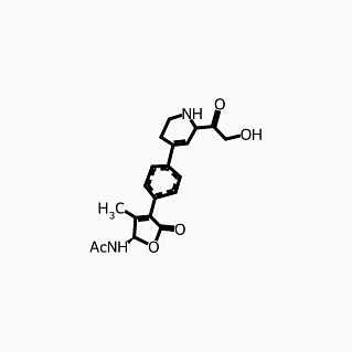 CC(=O)N[C@@H]1OC(=O)C(c2ccc(C3=CC(C(=O)CO)NCC3)cc2)=C1C